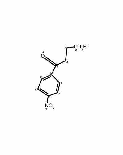 CCOC(=O)CCC(=O)c1ccc([N+](=O)[O-])cc1